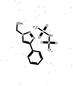 CCCCCCCCCCCn1cc(-c2ccccc2)nn1.O=S(=O)(NS(=O)(=O)C(F)(F)F)C(F)(F)F